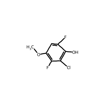 COc1cc(F)c(O)c(Cl)c1F